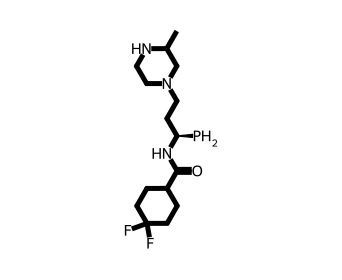 CC1CN(CC[C@@H](P)NC(=O)C2CCC(F)(F)CC2)CCN1